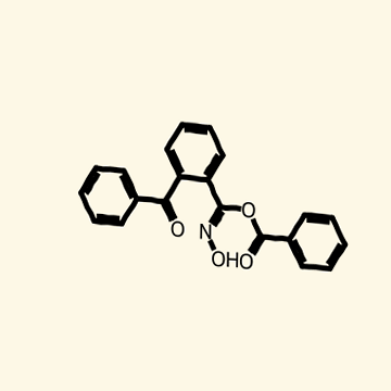 O=C(OC(=NO)c1ccccc1C(=O)c1ccccc1)c1ccccc1